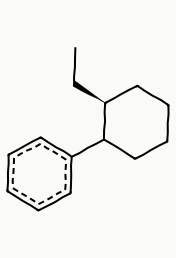 CC[C@H]1CCCCC1c1ccccc1